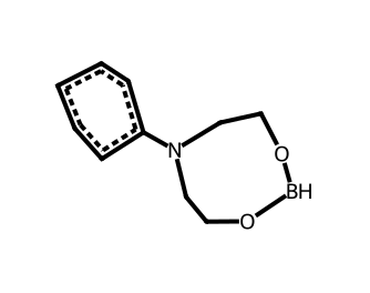 B1OCCN(c2ccccc2)CCO1